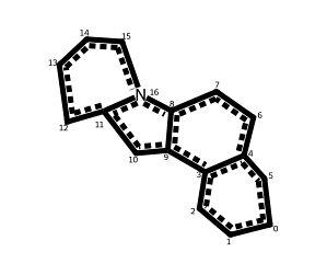 c1ccc2c(c1)ccc1c2cc2ccccn21